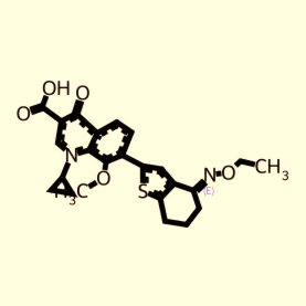 CCO/N=C1\CCCc2sc(-c3ccc4c(=O)c(C(=O)O)cn(C5CC5)c4c3OC)cc21